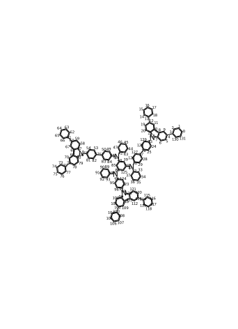 c1ccc(-c2ccc3c(c2)c2cc(-c4ccccc4)ccc2n3-c2ccc(-c3ccc(N(c4ccccc4)c4cc(N(c5ccccc5)c5ccc(-c6ccc(-n7c8ccc(-c9ccccc9)cc8c8cc(-c9ccccc9)ccc87)cc6)cc5)cc(N(c5ccccc5)c5ccc(-n6c7ccc(-c8ccccc8)cc7c7cc(-c8ccccc8)ccc76)cc5)c4)cc3)cc2)cc1